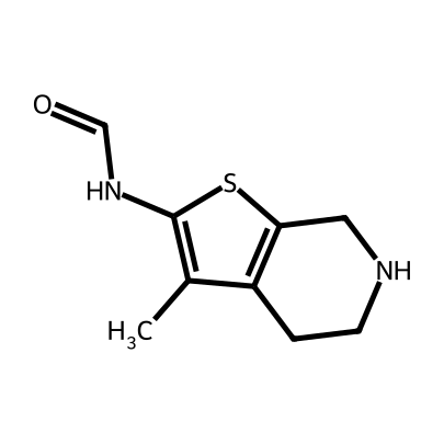 Cc1c(NC=O)sc2c1CCNC2